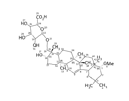 CO[C@@H]1CC(C)(C)CC2C3=CCC4[C@@]5(C)CC[C@H](O)[C@](C)(COC6OC(C(=O)O)C(O)C(O)C6O)C5CC[C@@]4(C)[C@]3(C)CC[C@]21C